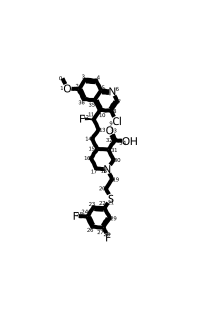 COc1ccc2ncc(Cl)c([C@H](F)CCC3CCN(CCSc4cc(F)cc(F)c4)CC3C(=O)O)c2c1